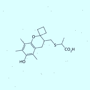 Cc1c(C)c2c(c(C)c1O)CC(CSC(C)C(=O)O)C1(CCC1)O2